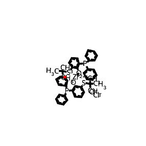 CC(C)(C)Sc1cccc(P(c2ccccc2)c2ccccc2)c1[O][Zr+2][O]c1c(SC(C)(C)C)cccc1P(c1ccccc1)c1ccccc1.[Cl-].[Cl-]